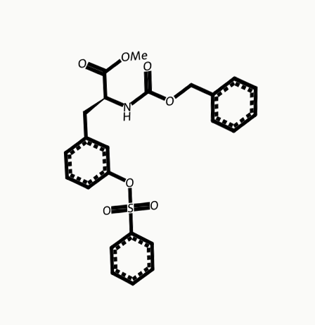 COC(=O)[C@H](Cc1cccc(OS(=O)(=O)c2ccccc2)c1)NC(=O)OCc1ccccc1